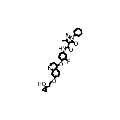 Cc1c(C(=O)Nc2ccc(Oc3ccnc4cc(OCCC5(O)CC5)ccc34)c(F)c2)c(=O)n(C2=CCCC=C2)n1C